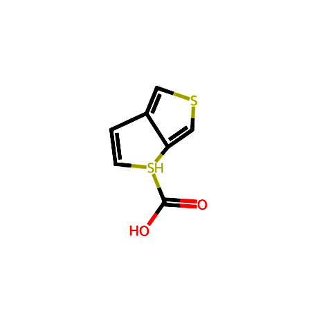 O=C(O)[SH]1C=Cc2cscc21